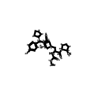 CC(C)(C)OC(=O)NC(CN1C[C@@H]2CC1C(=O)N2[C@H](c1ccc(F)cc1)C1CCCC1)C(=O)N1CCCC1C#N